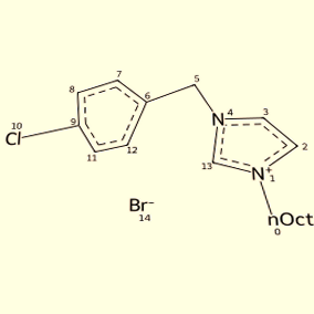 CCCCCCCC[n+]1ccn(Cc2ccc(Cl)cc2)c1.[Br-]